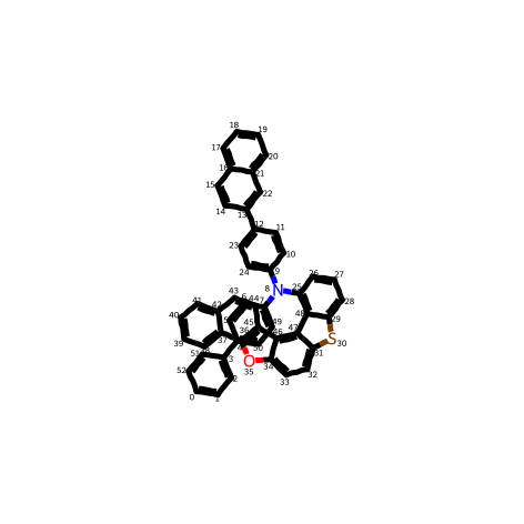 c1ccc(-c2ccc(N(c3ccc(-c4ccc5ccccc5c4)cc3)c3cccc4sc5ccc6oc7c8ccccc8ccc7c6c5c34)cc2)cc1